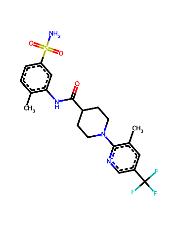 Cc1ccc(S(N)(=O)=O)cc1NC(=O)C1CCN(c2ncc(C(F)(F)F)cc2C)CC1